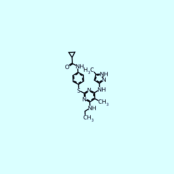 CCNc1nc(Sc2ccc(NC(=O)C3CC3)cc2)nc(Nc2cc(C)[nH]n2)c1C